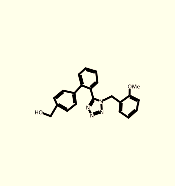 COc1ccccc1Cn1nnnc1-c1ccccc1-c1ccc(CO)cc1